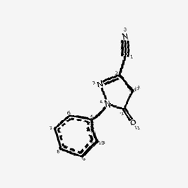 N#CC1=NN(c2ccccc2)C(=O)C1